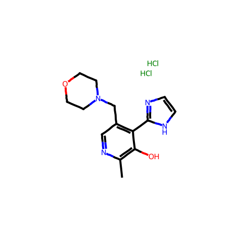 Cc1ncc(CN2CCOCC2)c(-c2ncc[nH]2)c1O.Cl.Cl